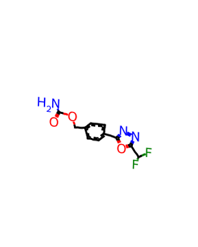 NC(=O)OCc1ccc(-c2nnc(C(F)F)o2)cc1